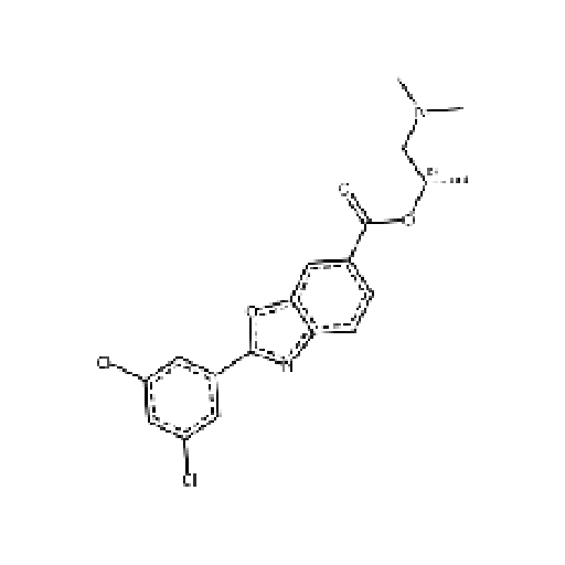 C[C@@H](CN(C)C)OC(=O)c1ccc2nc(-c3cc(Cl)cc(Cl)c3)oc2c1